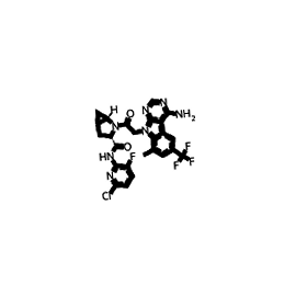 Cc1cc(C(F)(F)F)cc2c3c(N)ncnc3n(CC(=O)N3[C@@H]4CC4C[C@H]3C(=O)Nc3nc(Cl)ccc3F)c12